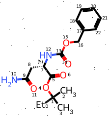 CCC(C)(C)OC(=O)[C@H](CC(N)=O)NC(=O)OCc1ccccc1